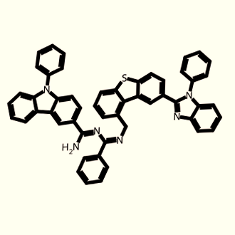 N/C(=N\C(=N/Cc1cccc2sc3ccc(-c4nc5ccccc5n4-c4ccccc4)cc3c12)c1ccccc1)c1ccc2c(c1)c1ccccc1n2-c1ccccc1